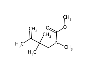 C=C(C)C(C)(C)CN(C)C(=O)OC